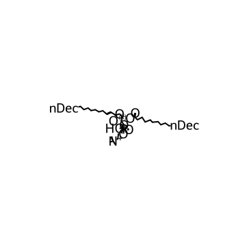 CCCCCCCCCCCCCCCCCC=CC(=O)O[C@H](COC(=O)CCCCCCCCCCCCCCCCCCC)COP(=O)(O)OCC[N+](C)(C)C